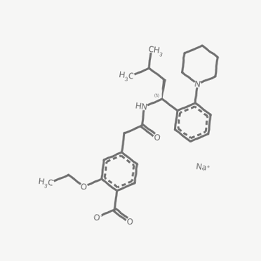 CCOc1cc(CC(=O)N[C@@H](CC(C)C)c2ccccc2N2CCCCC2)ccc1C(=O)[O-].[Na+]